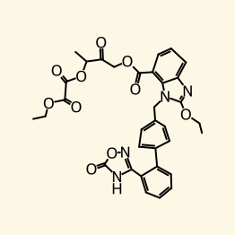 CCOC(=O)C(=O)OC(C)C(=O)COC(=O)c1cccc2nc(OCC)n(Cc3ccc(-c4ccccc4-c4noc(=O)[nH]4)cc3)c12